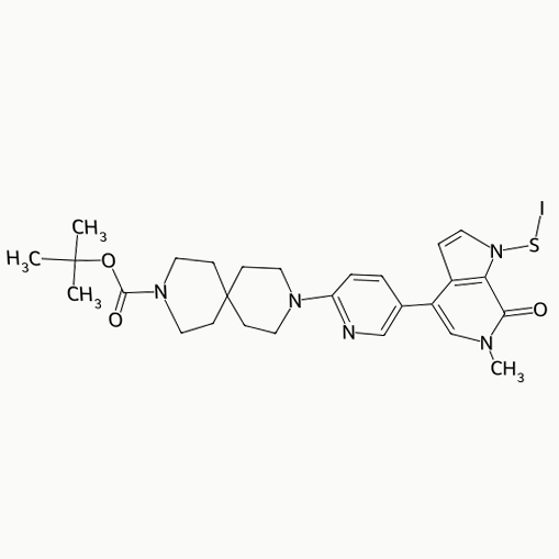 Cn1cc(-c2ccc(N3CCC4(CCN(C(=O)OC(C)(C)C)CC4)CC3)nc2)c2ccn(SI)c2c1=O